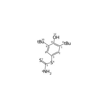 CC(C)(C)c1cc(SC(N)=S)cc(C(C)(C)C)c1O